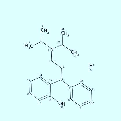 CC(C)N(CCC(c1ccccc1)c1ccccc1O)C(C)C.[H+]